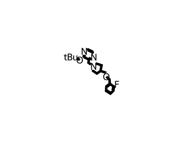 CC(C)(C)Oc1nccnc1CN1CCC(COCc2ccccc2F)CC1